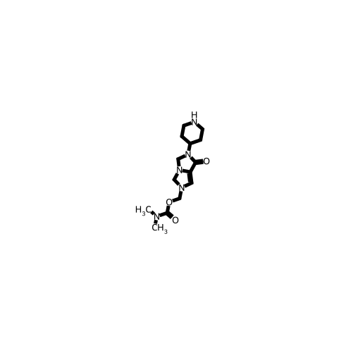 CN(C)C(=O)OCN1C=C2C(=O)N(C3CCNCC3)CN2C1